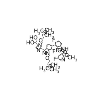 COc1ncc(F)cc1S(=O)(=O)Nc1ccc(F)c(-c2ccc3c(-c4ncc(C(O)CO)n4COCC[Si](C)(C)C)nn(COCC[Si](C)(C)C)c3c2F)c1F